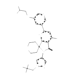 Cc1cc(-c2cncc(OCC(F)F)c2)nc2c1C(=O)N(c1cnn(CC(F)(F)F)c1)C21CCOCC1